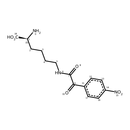 N[C@@H](CCCCNC(=O)C(=O)c1ccc([N+](=O)[O-])cc1)C(=O)O